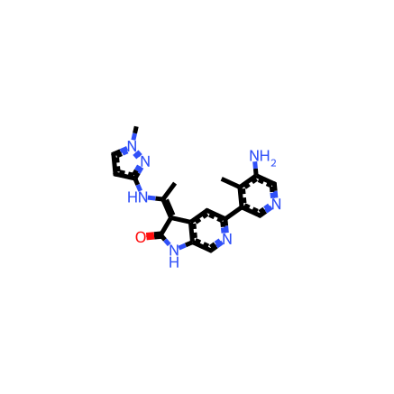 C/C(Nc1ccn(C)n1)=C1/C(=O)Nc2cnc(-c3cncc(N)c3C)cc21